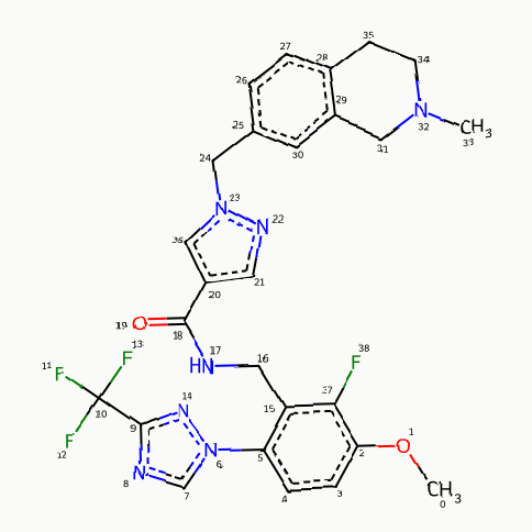 COc1ccc(-n2cnc(C(F)(F)F)n2)c(CNC(=O)c2cnn(Cc3ccc4c(c3)CN(C)CC4)c2)c1F